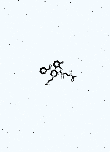 COCCN1C[C@H](C(=O)c2ccccc2)[C@@H](c2cccc(F)c2C)[C@H](C(=O)NCCNC(C)=O)C1